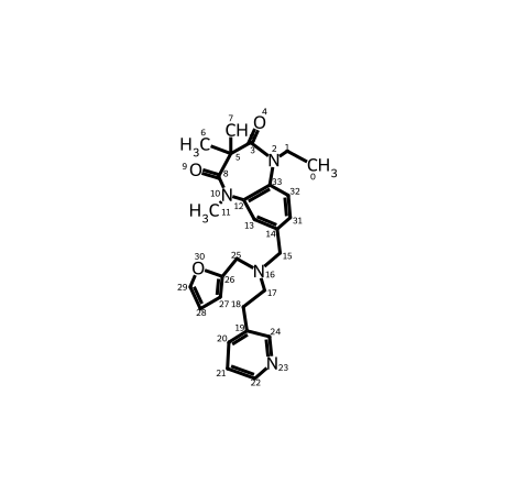 CCN1C(=O)C(C)(C)C(=O)N(C)c2cc(CN(CCc3cccnc3)Cc3ccco3)ccc21